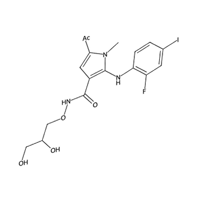 CC(=O)c1cc(C(=O)NOCC(O)CO)c(Nc2ccc(I)cc2F)n1C